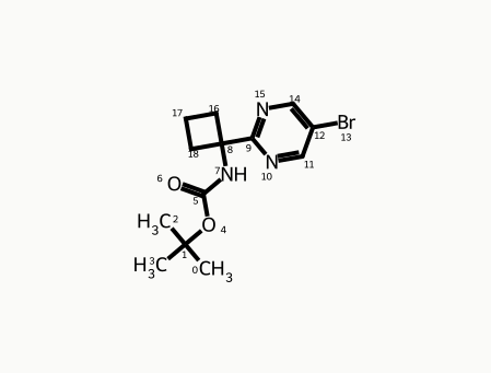 CC(C)(C)OC(=O)NC1(c2ncc(Br)cn2)CCC1